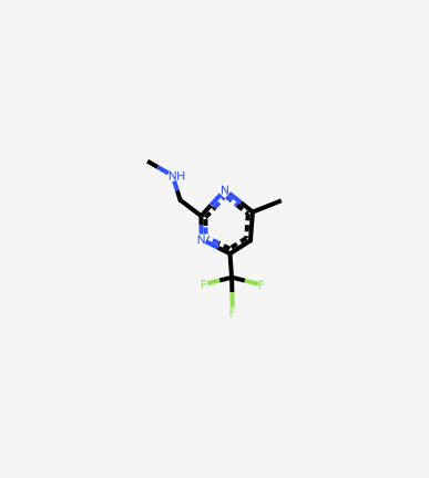 CNCc1nc(C)cc(C(F)(F)F)n1